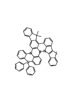 CC1(C)c2ccccc2-c2cc3c4c(c21)-c1cccc2c5sc6ccccc6c5n(c12)B4c1cccc2c1N3c1ccccc1[Si]2(c1ccccc1)c1ccccc1